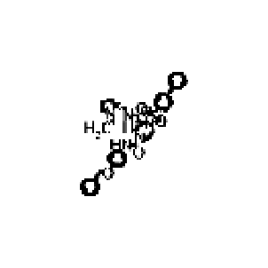 CCN1CCC[C@@H]1CNC(=O)[C@@H]1CN(C(=O)Nc2ccc(OCc3ccccc3)cc2)CCN1S(=O)(=O)c1ccc(-c2ccccc2)cc1